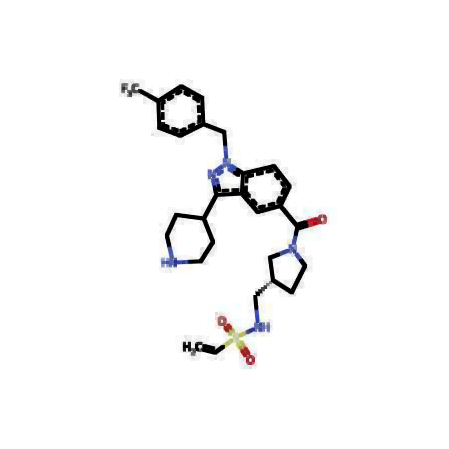 C=CS(=O)(=O)NC[C@H]1CCN(C(=O)c2ccc3c(c2)c(C2CCNCC2)nn3Cc2ccc(C(F)(F)F)cc2)C1